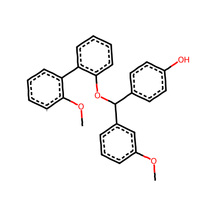 COc1cccc(C(Oc2ccccc2-c2ccc[c]c2OC)c2ccc(O)cc2)c1